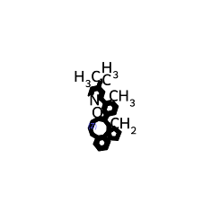 C=C1c2c(oc3c(-c4cc(C(C)C)ccn4)c(C)ccc23)/C=C\Cc2ccccc2C12CCCC2